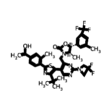 C=C(O)c1ccc(-c2nc(C(C)(C)C)c(-c3cnc(N4CC(F)(F)C4)nc3CN3C(=O)O[C@H](c4cc(C)cc(C(F)(F)F)c4)[C@@H]3C)s2)c(C)c1